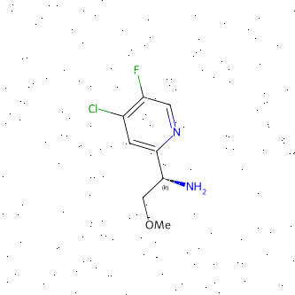 COC[C@H](N)c1cc(Cl)c(F)cn1